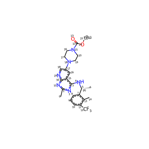 Cc1nc(N[C@H](C)c2cccc(C(F)(F)F)c2C)c2cc(N3CCN(C(=O)OC(C)(C)C)CC3)cnc2n1